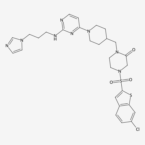 O=C1CN(S(=O)(=O)c2cc3ccc(Cl)cc3s2)CCN1CC1CCN(c2ccnc(NCCCn3ccnc3)n2)CC1